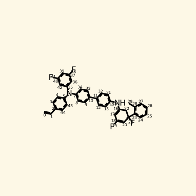 C=Cc1ccc(N(c2ccc(-c3ccc(NC4=CC(F)=CC(F)(c5ccccc5C)C4)cc3)cc2)c2cc(F)cc(F)c2)cc1